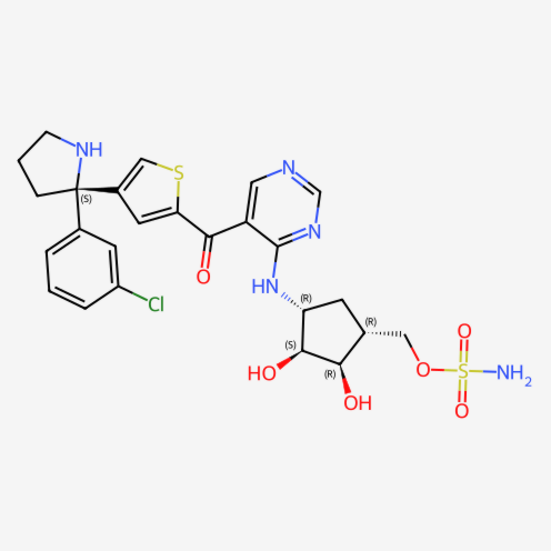 NS(=O)(=O)OC[C@H]1C[C@@H](Nc2ncncc2C(=O)c2cc([C@@]3(c4cccc(Cl)c4)CCCN3)cs2)[C@H](O)[C@@H]1O